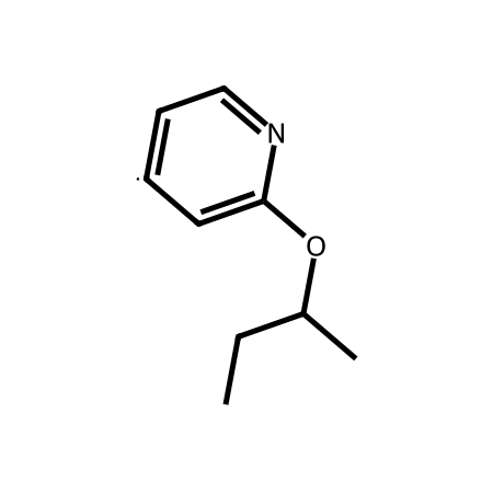 CCC(C)Oc1c[c]ccn1